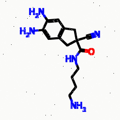 N#CC1(C(=O)NCCCCN)Cc2cc(N)c(N)cc2C1